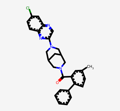 Cc1ccc(-c2ccccc2)c(C(=O)N2CC3CC(C2)CN(c2cnc4cc(Cl)ccc4n2)C3)c1